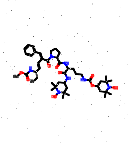 CC(C)C[C@@H](/C=C/C(=C\c1ccccc1)C(=O)N1CCC[C@H]1C(=O)N[C@@H](CCCNC(=O)OC1CC(C)(C)N(O)C(C)(C)C1)C(=O)NC1CC(C)(C)N(O)C(C)(C)C1)NC(=O)OC(C)(C)C